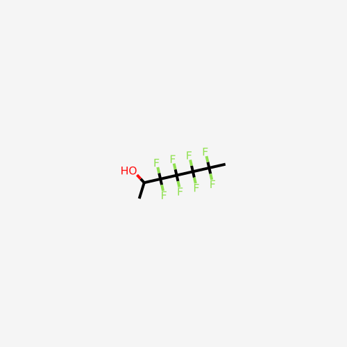 CC(O)C(F)(F)C(F)(F)C(F)(F)C(C)(F)F